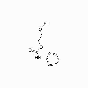 CCOCCOC(=O)Nc1ccccc1